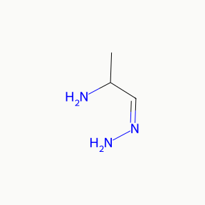 CC(N)/C=N\N